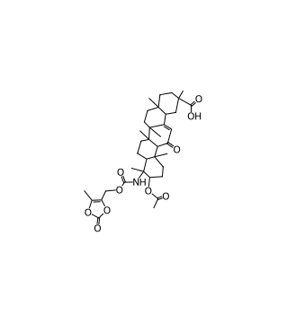 CC(=O)OC1CCC2(C)C(CCC3(C)C2C(=O)C=C2C4CC(C)(C(=O)O)CCC4(C)CCC23C)C1(C)NC(=O)OCc1oc(=O)oc1C